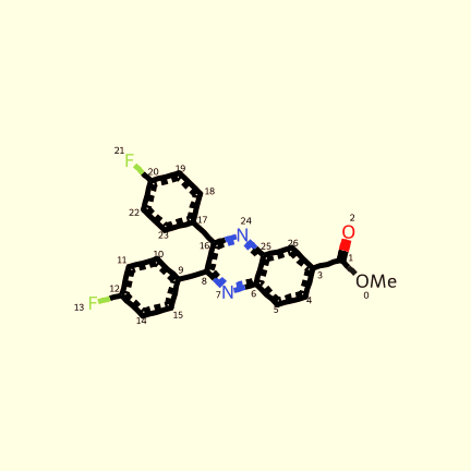 COC(=O)c1ccc2nc(-c3ccc(F)cc3)c(-c3ccc(F)cc3)nc2c1